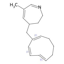 CC1=CC(CC2=C/CCC/C=C/C=C\2)CCN=C1